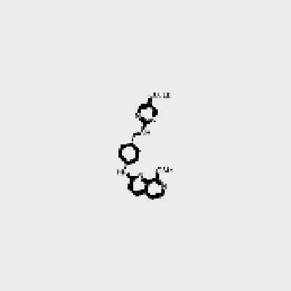 CCOC(=O)c1cnc(NC[C@H]2CC[C@H](Nc3ccc4ccnc(OC)c4n3)CC2)nc1